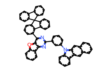 c1cc(-c2nc(-c3cccc4c3-c3ccccc3C43c4ccccc4-c4ccccc43)c3oc4ccccc4c3n2)cc(-n2c3ccccc3c3cc4ccccc4cc32)c1